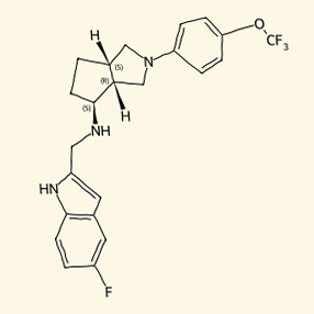 Fc1ccc2[nH]c(CN[C@H]3CC[C@@H]4CN(c5ccc(OC(F)(F)F)cc5)C[C@@H]43)cc2c1